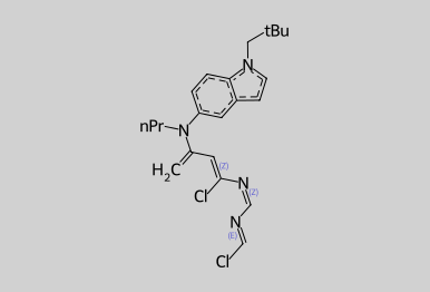 C=C(/C=C(Cl)/N=C\N=C\Cl)N(CCC)c1ccc2c(ccn2CC(C)(C)C)c1